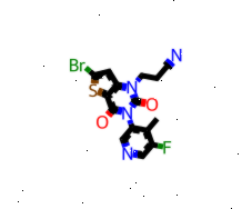 Cc1c(F)cncc1-n1c(=O)c2sc(Br)cc2n(CCC#N)c1=O